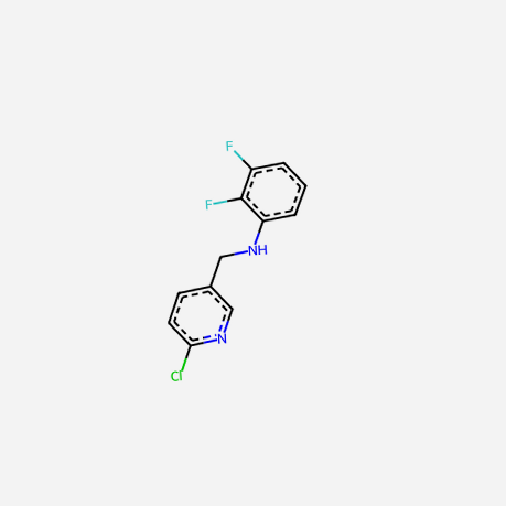 Fc1cccc(NCc2ccc(Cl)nc2)c1F